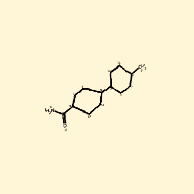 CC1CCC(C2CCC(C(N)=O)CC2)CC1